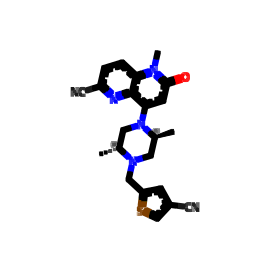 C[C@@H]1CN(c2cc(=O)n(C)c3ccc(C#N)nc23)[C@@H](C)CN1Cc1cc(C#N)cs1